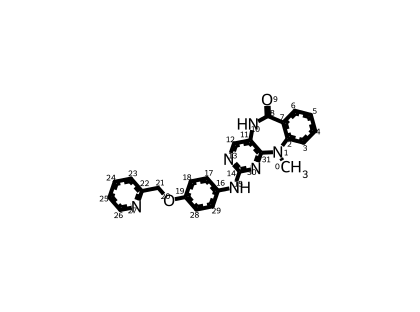 CN1c2ccccc2C(=O)Nc2cnc(Nc3ccc(OCc4ccccn4)cc3)nc21